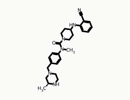 C[C@H]1CN(Cc2ccc(N(C)C(=O)N3CCC(Nc4ccccc4C#N)CC3)cc2)CCN1